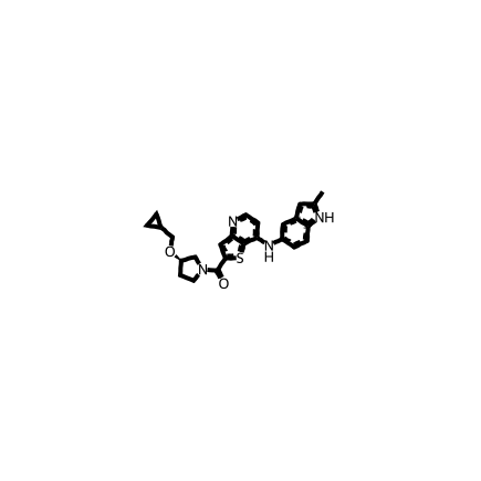 Cc1cc2cc(Nc3ccnc4cc(C(=O)N5CC[C@@H](OCC6CC6)C5)sc34)ccc2[nH]1